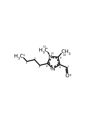 CCCCc1nc(C=O)c(C)n1C